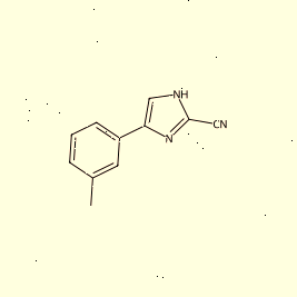 Cc1cccc(-c2c[nH]c(C#N)n2)c1